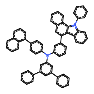 c1ccc(-c2cc(-c3ccccc3)cc(N(c3ccc(-c4cccc5ccccc45)cc3)c3cccc(-c4cc5ccccc5c5c4c4ccccc4n5-c4ccccc4)c3)c2)cc1